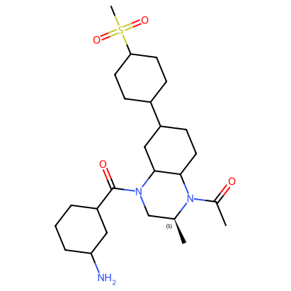 CC(=O)N1C2CCC(C3CCC(S(C)(=O)=O)CC3)CC2N(C(=O)C2CCCC(N)C2)C[C@@H]1C